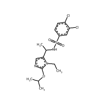 CCn1c(C(C)NS(=O)(=O)c2ccc(Cl)c(Cl)c2)cnc1OC(C)C